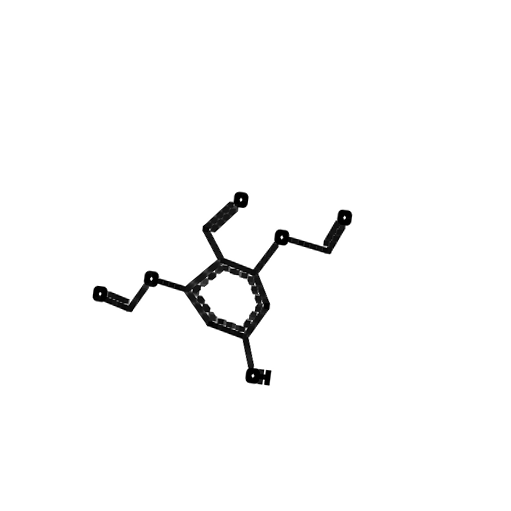 O=COc1cc(O)cc(OC=O)c1C=O